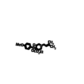 CCOC(=O)C1(S(=O)(=O)c2ccc(OC)cc2)CCN(CC=C(C)C)CC1